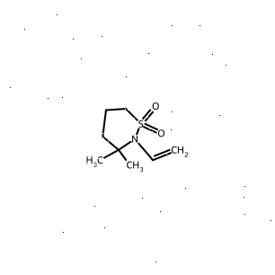 C=CN1C(C)(C)CCCS1(=O)=O